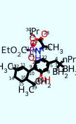 BC(B)(CCC)Cc1cc(O)c(C2C=C(C)CCC2C(=C)C)c(OP(=O)(NC(C)C(=O)OC(C)C)C(=O)OCC)c1